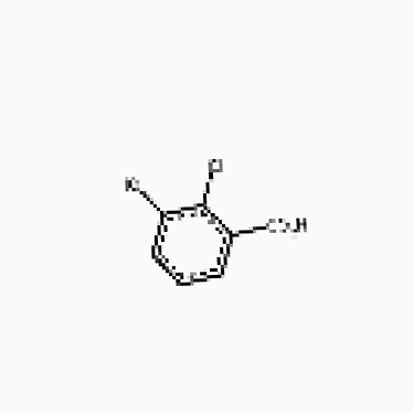 O=C(O)c1cccc(O)c1Cl